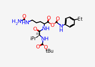 CCc1ccc(NC(=O)OC(=O)C(CCCNC(N)=O)NC(=O)[C@@H](NC(=O)OC(C)(C)C)C(C)C)cc1